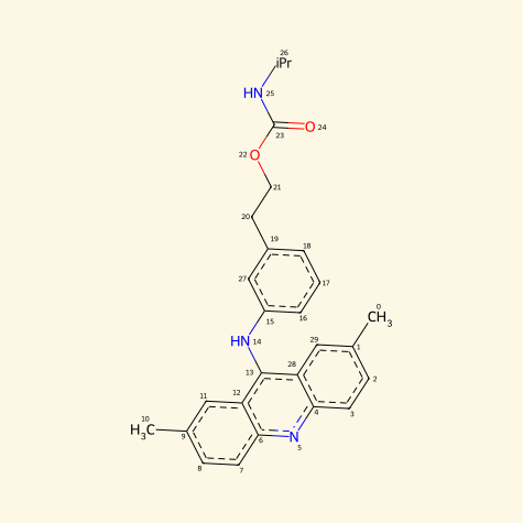 Cc1ccc2nc3ccc(C)cc3c(Nc3cccc(CCOC(=O)NC(C)C)c3)c2c1